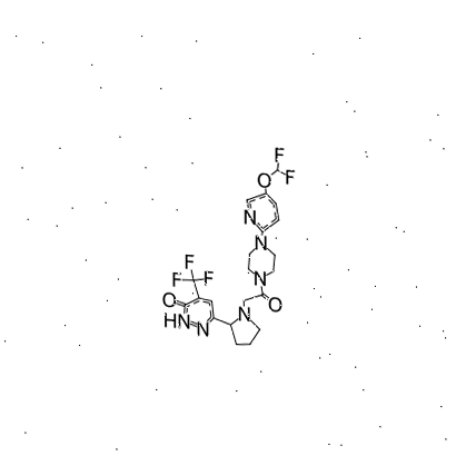 O=C(CN1CCCC1c1cc(C(F)(F)F)c(=O)[nH]n1)N1CCN(c2ccc(OC(F)F)cn2)CC1